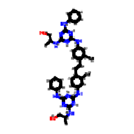 CC(CO)Nc1nc(Nc2ccccc2)nc(Nc2ccc(C=Cc3ccc(Nc4nc(Nc5ccccc5)nc(NC(C)CO)n4)c[c]3[Na])[c]([Na])c2)n1